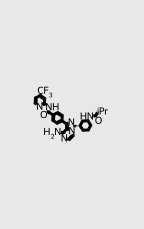 CC(C)C(=O)N[C@H]1CCC[C@H](c2nc(-c3ccc(C(=O)Nc4cc(C(F)(F)F)ccn4)cc3)c3c(N)nccn23)C1